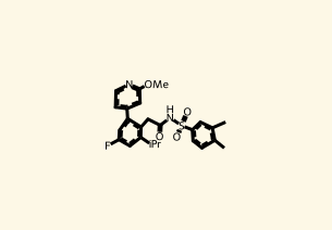 COc1cc(-c2cc(F)cc(C(C)C)c2CC(=O)NS(=O)(=O)c2ccc(C)c(C)c2)ccn1